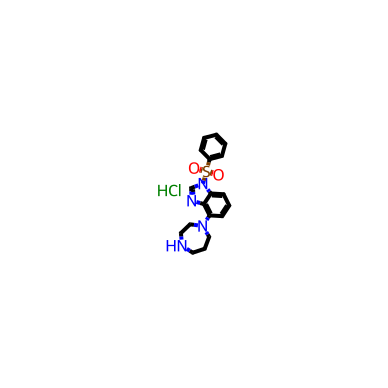 Cl.O=S(=O)(c1ccccc1)n1cnc2c(N3CCCNCC3)cccc21